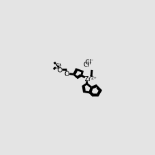 C[CH]=[Zr+2]([C]1=CC(OCO[Si](C)(C)C)=CC1)[CH]1C=Cc2ccccc21.[Cl-].[Cl-]